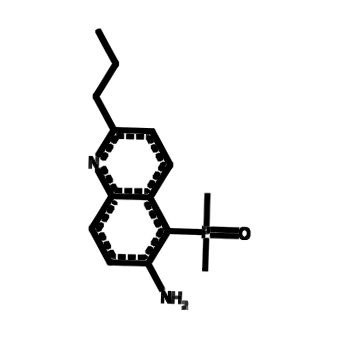 CCCc1ccc2c(P(C)(C)=O)c(N)ccc2n1